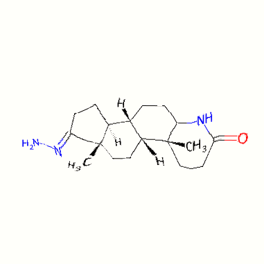 C[C@]12CCC(=O)NC1CC[C@@H]1[C@H]2CC[C@]2(C)C(=NN)CC[C@@H]12